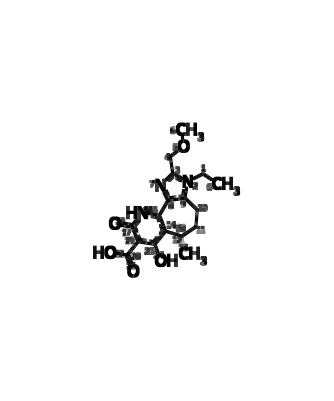 CCn1c(COC)nc2c1CC[C@H](C)c1c-2[nH]c(=O)c(C(=O)O)c1O